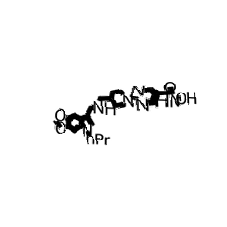 CCCn1cc(CNCC2CCN(c3ncc(C(=O)NO)cn3)CC2)c2cc3c(cc21)OCO3